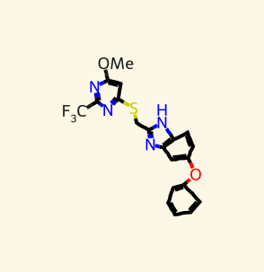 COc1cc(SCc2nc3cc(Oc4ccccc4)ccc3[nH]2)nc(C(F)(F)F)n1